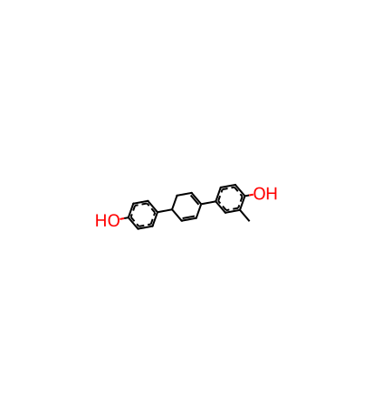 Cc1cc(C2=CCC(c3ccc(O)cc3)C=C2)ccc1O